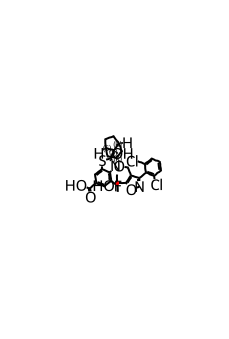 CC(C)(O)c1onc(-c2c(Cl)cccc2Cl)c1CO[C@H]1C[C@H]2CC[C@@H](C1)[C@@]2(O)c1nc2c(F)cc(C(=O)O)cc2s1